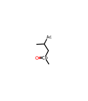 CC(=O)C(C)[CH2][Co]([CH3])=[O]